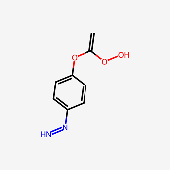 C=C(OO)Oc1ccc(N=N)cc1